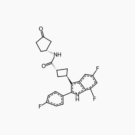 O=C1CC[C@@H](NC(=O)[C@H]2C[C@H](c3c(-c4ccc(F)cc4)[nH]c4c(F)cc(F)cc43)C2)C1